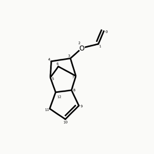 C=COC1CC2CC1C1C=CCC21